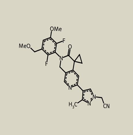 COCc1cc(OC)c(F)c(N2Cc3cnc(-c4cn(CC#N)nc4C)cc3C3(CC3)C2=O)c1F